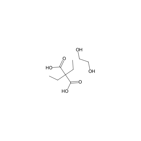 CCC(CC)(C(=O)O)C(=O)O.OCCO